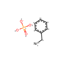 O=P([O-])([O-])[O-].[Ni+3][CH2]c1ccccc1